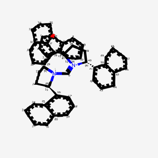 C(N1[C@@H](c2cccc3ccccc23)CC[C@@H]1c1cccc2ccccc12)=[N+]1[C@@H](c2cccc3ccccc23)CC[C@@H]1c1cccc2ccccc12